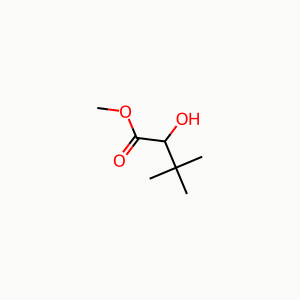 COC(=O)C(O)C(C)(C)C